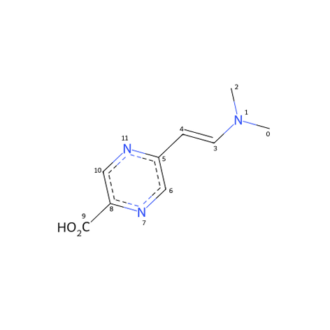 CN(C)C=Cc1cnc(C(=O)O)cn1